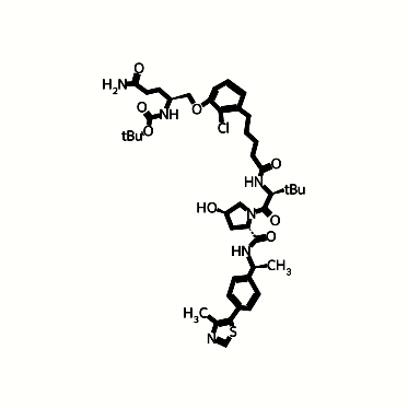 Cc1ncsc1-c1ccc([C@H](C)NC(=O)[C@@H]2C[C@@H](O)CN2C(=O)[C@@H](NC(=O)CCCCc2cccc(OC[C@H](CCC(N)=O)NC(=O)OC(C)(C)C)c2Cl)C(C)(C)C)cc1